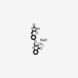 Cn1c(COc2ccc(C=C3SC(=O)NC3=O)cc2)nc2ccccc2c1=O.[NaH]